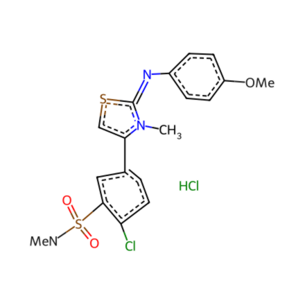 CNS(=O)(=O)c1cc(-c2cs/c(=N/c3ccc(OC)cc3)n2C)ccc1Cl.Cl